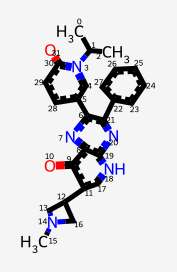 CC(C)n1cc(-c2nc3c(=O)c(C4CN(C)C4)c[nH]c3nc2-c2ccccc2)ccc1=O